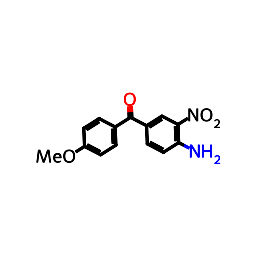 COc1ccc(C(=O)c2ccc(N)c([N+](=O)[O-])c2)cc1